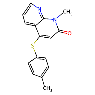 Cc1ccc(Sc2cc(=O)n(C)c3ncccc23)cc1